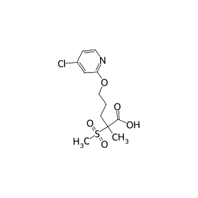 CC(CCCOc1cc(Cl)ccn1)(C(=O)O)S(C)(=O)=O